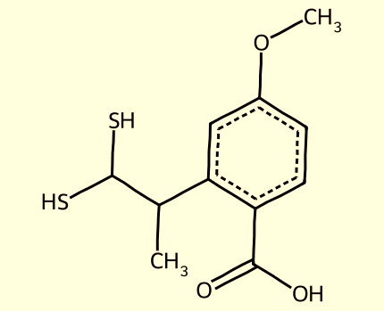 COc1ccc(C(=O)O)c(C(C)C(S)S)c1